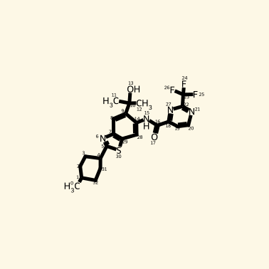 CC1CCC(c2nc3cc(C(C)(C)O)c(NC(=O)c4ccnc(C(F)(F)F)n4)cc3s2)CC1